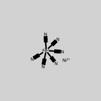 N#[C][Fe-2]([C]#N)([C]#N)([C]#N)([C]#N)[C]#N.[Ni+2]